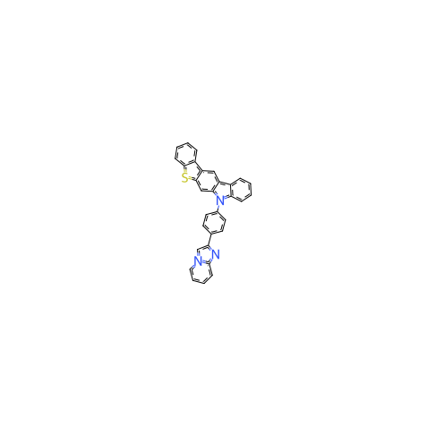 c1ccc2c(c1)sc1cc3c(cc12)c1ccccc1n3-c1ccc(-c2cn3ccccc3n2)cc1